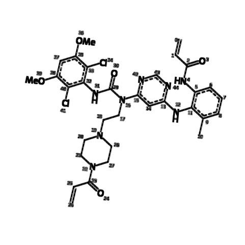 C=CC(=O)Nc1cccc(C)c1Nc1cc(N(CCN2CCN(C(=O)C=C)CC2)C(=O)Nc2c(Cl)c(OC)cc(OC)c2Cl)ncn1